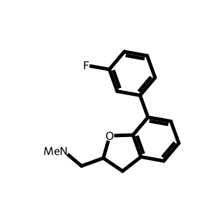 CNCC1Cc2cccc(-c3cccc(F)c3)c2O1